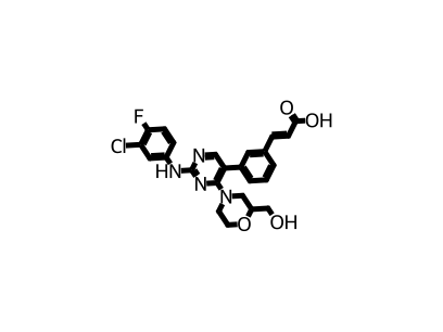 O=C(O)C=Cc1cccc(-c2cnc(Nc3ccc(F)c(Cl)c3)nc2N2CCOC(CO)C2)c1